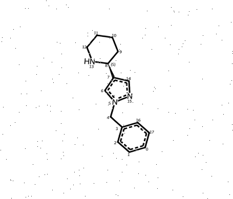 c1ccc(Cn2cc([C@@H]3CCCCN3)cn2)cc1